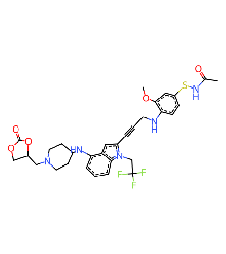 COc1cc(SNC(C)=O)ccc1NCC#Cc1cc2c(NC3CCN(CC4COC(=O)O4)CC3)cccc2n1CC(F)(F)F